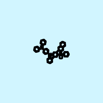 O=P1(c2ccccc2)c2cc3ccccc3cc2-c2cc3c(cc21)c1ccccc1n3-c1ccc(N(c2ccccc2)c2ccccc2)cc1